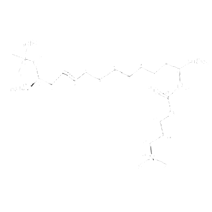 CCCCCCCCCCC(CCCCCCCC=CC[C@@H](CCCCCC)O[Si](C)(C)C(C)(C)C)OC(=O)OCCCN(C)C